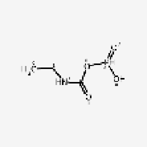 CCNC(=O)O[PH](=O)O